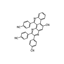 N#Cc1ccc(-c2nc3cc(C#N)c4c5ccccc5nc(-c5ccc(C#N)cc5)c4c3nc2-c2ccc(C#N)cc2)cc1